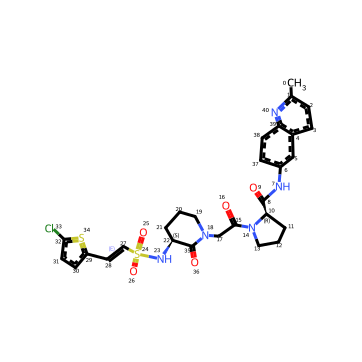 Cc1ccc2cc(NC(=O)[C@H]3CCCN3C(=O)CN3CCC[C@H](NS(=O)(=O)/C=C/c4ccc(Cl)s4)C3=O)ccc2n1